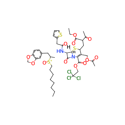 CCCCCCCC[S+]([O-])C(C)Cc1ccc2c(c1)OCO2.CCOC(=O)C(CC1S[C@@H]2C(NC(=O)Cc3cccs3)C(=O)N2C(C(=O)OCC(Cl)(Cl)Cl)=C1COC(C)=O)C(C)=O